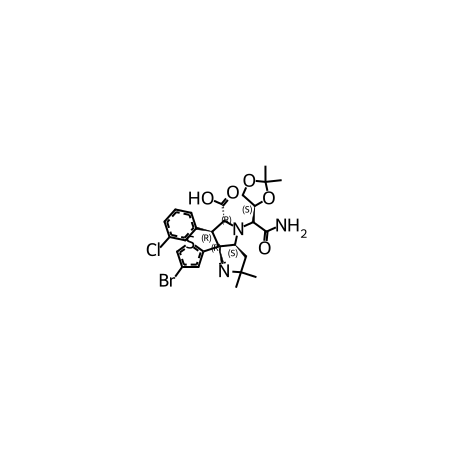 CC(C)(C)C[C@@H]1N(C(C(N)=O)[C@H]2COC(C)(C)O2)[C@@H](C(=O)O)[C@H](c2cccc(Cl)c2)[C@@]1(C#N)c1cc(Br)cs1